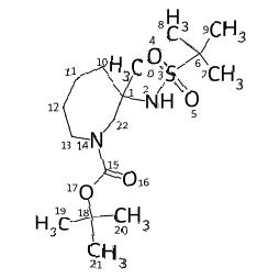 CC1(NS(=O)(=O)C(C)(C)C)CCCCN(C(=O)OC(C)(C)C)C1